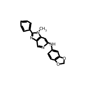 Cn1c(-c2ccccc2)nc2cnc(Nc3ccc4c(c3)OCO4)cc21